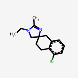 CCN1CC2(CCc3c(Br)cccc3C2)N=C1C